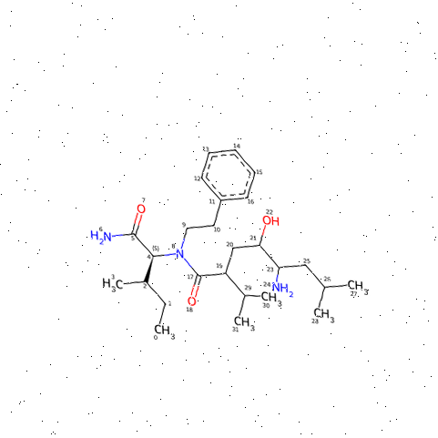 CCC(C)[C@@H](C(N)=O)N(CCc1ccccc1)C(=O)C(CC(O)C(N)CC(C)C)C(C)C